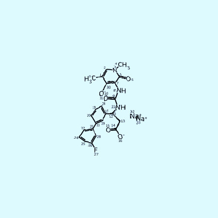 Cc1cn(C)c(=O)c(NC(=O)N[C@@H](CC(=O)[O-])c2cccc(-c3cccc(F)c3)c2)c1[O-].[Na+].[Na+]